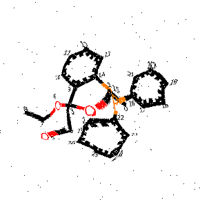 CCOC(C=O)(OCC)c1ccccc1P(c1ccccc1)c1ccccc1